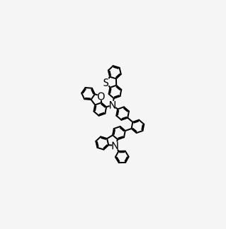 c1ccc(-n2c3ccccc3c3ccc(-c4ccccc4-c4ccc(N(c5ccc6c(c5)sc5ccccc56)c5cccc6c5oc5ccccc56)cc4)cc32)cc1